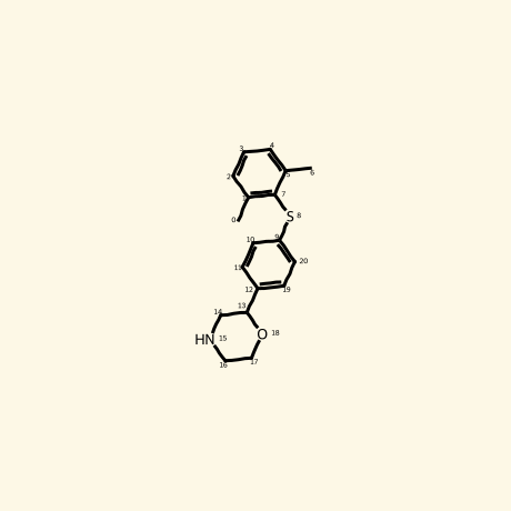 Cc1cccc(C)c1Sc1ccc(C2CNCCO2)cc1